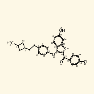 CC1CN(CCc2ccc(Oc3c(C(=O)c4ccc(Cl)cc4)sc4cc(O)ccc34)cc2)C1